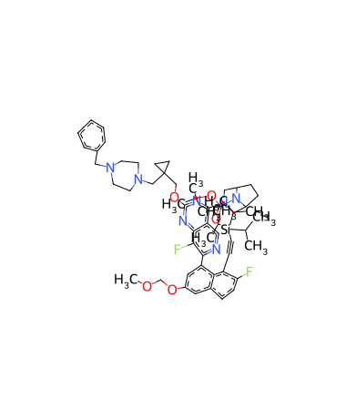 COCOc1cc(-c2ncc3c(N4CC5CCC(C4)N5C(=O)OC(C)(C)C)nc(OCC4(CN5CCN(Cc6ccccc6)CC5)CC4)nc3c2F)c2c(C#C[Si](C(C)C)(C(C)C)C(C)C)c(F)ccc2c1